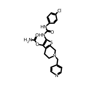 NC(=O)Oc1c(NC(=O)Nc2ccc(Cl)cc2)sc2c1CCN(Cc1ccncc1)C2